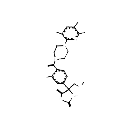 COCC1(c2ccc(C(=O)N3CCN(c4nc(C)c(C)cc4C)CC3)c(F)c2)NC(=O)NC1=O